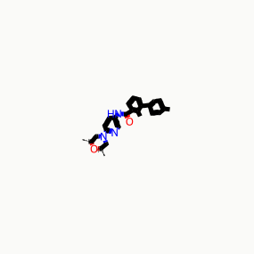 Cc1ccc(-c2cccc(C(=O)Nc3ccc(N4C[C@@H](C)O[C@@H](C)C4)nc3)c2C)cc1